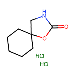 Cl.Cl.O=C1NCC2(CCCCC2)O1